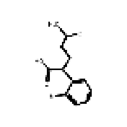 CC(Cl)CCC(C(=O)O)c1ccccc1Br